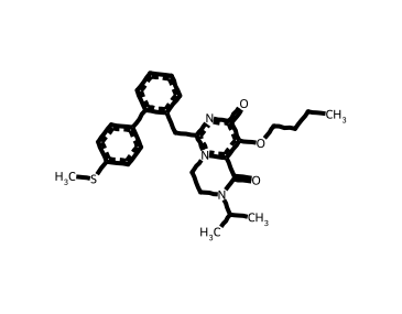 CCCCOc1c2n(c(Cc3ccccc3-c3ccc(SC)cc3)nc1=O)CCN(C(C)C)C2=O